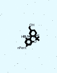 CCCCCc1cc(O)c2c(c1)OC(C)(C)[C@@H]1CCC(CO)=C[C@@]21N